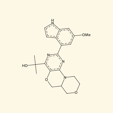 COc1cc(-c2nc3c(c(C(C)(C)O)n2)OCC2COCCN32)c2cc[nH]c2c1